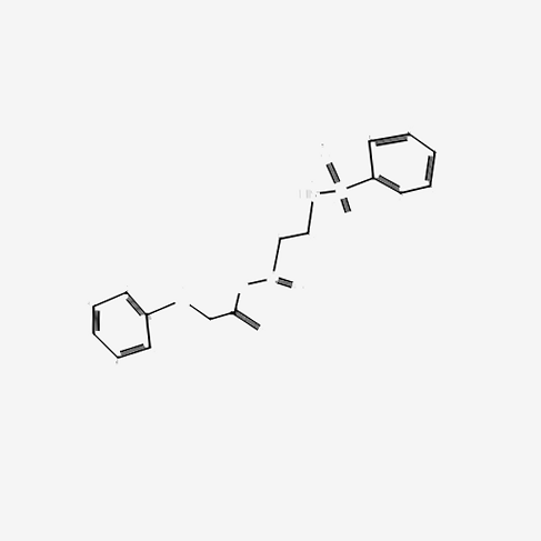 O=C(COc1ccccc1)OS(=O)CCNS(=O)(=O)c1ccccc1